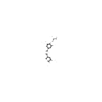 CCc1cc(-c2nc(-c3cnc(OC(C)C)c(C)c3)no2)cc(C)c1OC[C@@H](O)CO